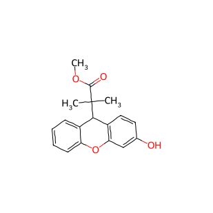 COC(=O)C(C)(C)C1c2ccccc2Oc2cc(O)ccc21